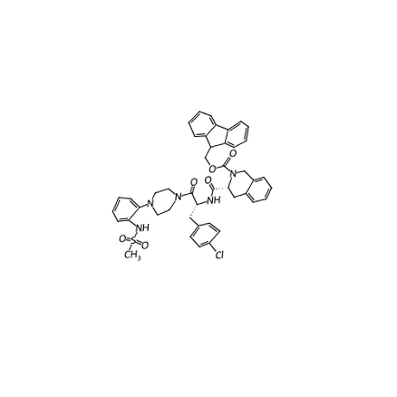 CS(=O)(=O)Nc1ccccc1N1CCN(C(=O)[C@@H](Cc2ccc(Cl)cc2)NC(=O)[C@H]2Cc3ccccc3CN2C(=O)OCC2c3ccccc3-c3ccccc32)CC1